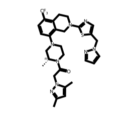 Cc1cc(C)n(CC(=O)N2CCN(c3ccc(C(F)(F)F)c4c3CN(c3ncc(Cn5cccn5)s3)CC4)C[C@H]2C)n1